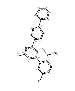 C[S+]([O-])c1ccc(Cl)cc1-c1cc(-c2ccc(-c3ccccc3)cc2)nc(Cl)n1